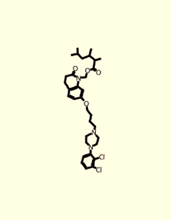 CC(C)CC(C)C(C)C(=O)OCN1C(=O)CCc2ccc(OCCCCN3CCN(c4cccc(Cl)c4Cl)CC3)cc21